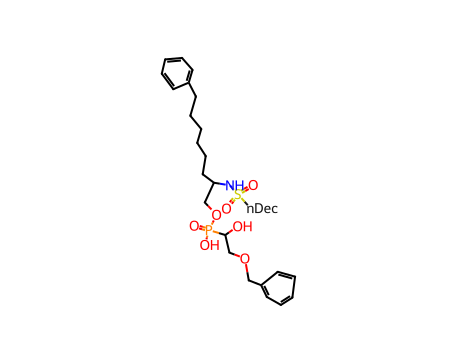 CCCCCCCCCCS(=O)(=O)NC(CCCCCCc1ccccc1)COP(=O)(O)C(O)COCc1ccccc1